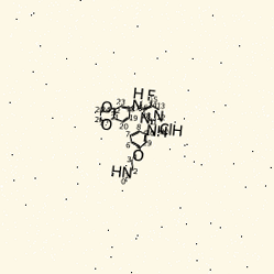 CNCCOc1cccc(Nc2ncc(F)c(Nc3ccc4c(c3)OCCO4)n2)c1.Cl